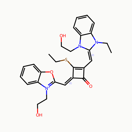 CCSC1=C(/C=C2/N(CC)c3ccccc3N2CCO)C(=O)/C1=C/c1oc2ccccc2[n+]1CCO